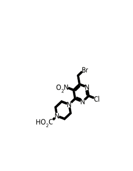 O=C(O)N1CCN(c2nc(Cl)nc(CBr)c2[N+](=O)[O-])CC1